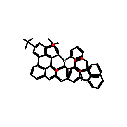 CC(C)(C)c1cc(-c2cccc3cccc(-c4ccccc4N(c4ccccc4-c4cccc5c4oc4ccccc45)c4ccccc4-c4cccc5sc6ccccc6c45)c23)cc(C(C)(C)C)c1